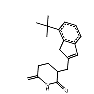 C=C1CCC(CC2=Cc3cccc(C(C)(C)C)c3C2)C(=O)N1